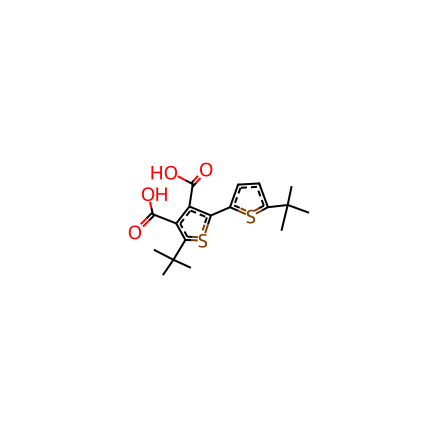 CC(C)(C)c1ccc(-c2sc(C(C)(C)C)c(C(=O)O)c2C(=O)O)s1